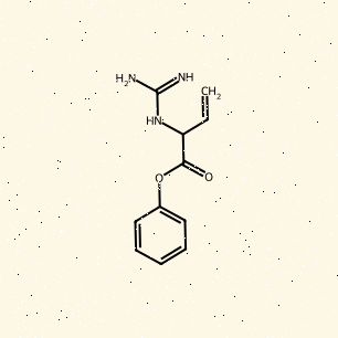 C=CC(NC(=N)N)C(=O)Oc1ccccc1